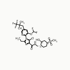 CCc1nc(C(=O)NC[C@H]2CC[C@H](S(C)(=O)=O)C[C@@H]2O)c(Cl)n1-c1ncc(CC(C)(C)C(F)(F)F)cc1OC(F)F